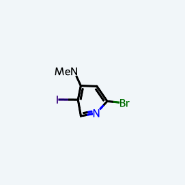 CNc1cc(Br)ncc1I